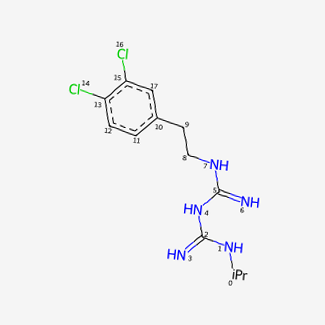 CC(C)NC(=N)NC(=N)NCCc1ccc(Cl)c(Cl)c1